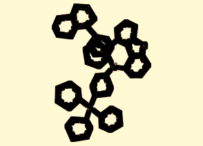 c1ccc(-c2cccc3oc4cccc(N(c5ccc(-c6cccc7ccccc67)cc5)c5ccc(S(c6ccccc6)(c6ccccc6)c6ccccc6)cc5)c4c23)cc1